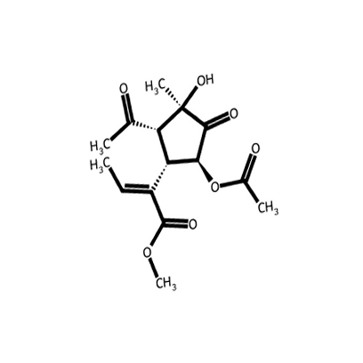 C/C=C(/C(=O)OC)[C@H]1[C@H](OC(C)=O)C(=O)[C@](C)(O)[C@H]1C(C)=O